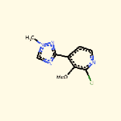 COc1c(-c2ncn(C)n2)ccnc1Cl